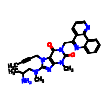 CC#CCn1c(N(C)CC(C)N)nc2c1c(=O)n(Cc1nc3ccccc3c3ncccc13)c(=O)n2C